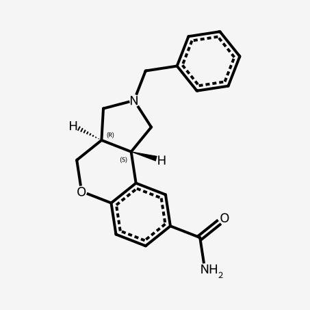 NC(=O)c1ccc2c(c1)[C@H]1CN(Cc3ccccc3)C[C@@H]1CO2